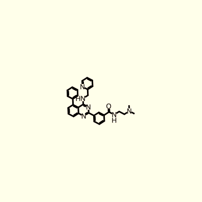 CN(C)CCNC(=O)c1cccc(-c2nc(NCc3ccccn3)c3c(-c4ccccc4)cccc3n2)c1